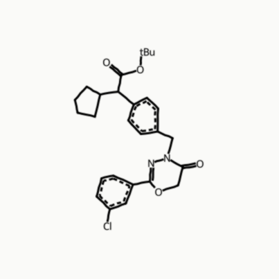 CC(C)(C)OC(=O)C(c1ccc(CN2N=C(c3cccc(Cl)c3)OCC2=O)cc1)C1CCCC1